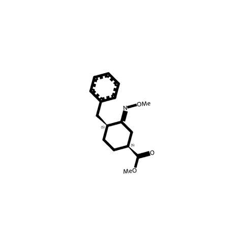 CON=C1C[C@@H](C(=O)OC)CC[C@H]1Cc1ccccc1